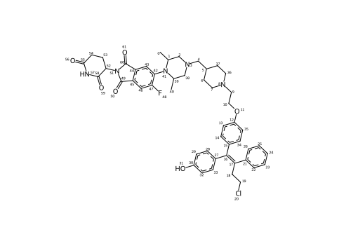 CC1CN(CC2CCN(CCOc3ccc(C(=C(CCCl)c4ccccc4)c4ccc(O)cc4)cc3)CC2)CC(C)N1c1cc2c(cc1F)C(=O)N(C1CCC(=O)NC1=O)C2=O